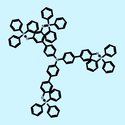 c1ccc(P(=Nc2ccc(-c3ccc(N(c4ccc(-c5ccc(N=P(c6ccccc6)(c6ccccc6)c6ccccc6)cc5)cc4)c4ccc(-c5cc(N=P(c6ccccc6)(c6ccccc6)c6ccccc6)cc(N=P(c6ccccc6)(c6ccccc6)c6ccccc6)c5)cc4)cc3)cc2)(c2ccccc2)c2ccccc2)cc1